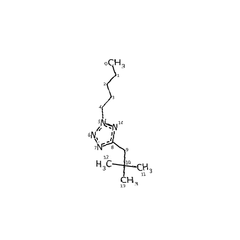 CCCCCn1nnc(CC(C)(C)C)n1